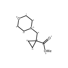 COC(=O)C1(CN2CCOCC2)CC1